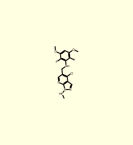 COc1cc(OC)c(F)c(NCc2cnc3c(cnn3PC)c2Cl)c1F